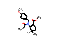 CCC(=O)N(Cc1ccc(OC)cc1)C1=C(C(=O)OC)CCC(C)(C)C1